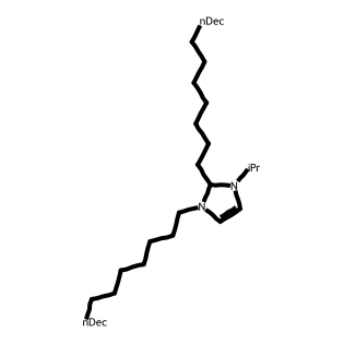 CCCCCCCCCCCCCCCCCC1N(CCCCCCCCCCCCCCCCC)C=CN1C(C)C